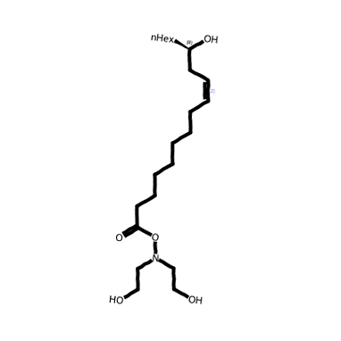 CCCCCC[C@@H](O)C/C=C\CCCCCCCC(=O)ON(CCO)CCO